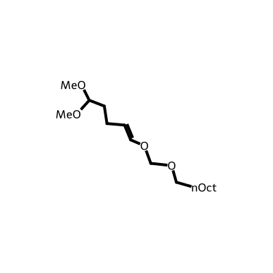 CCCCCCCCCOCOC=CCCC(OC)OC